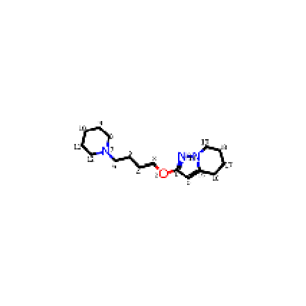 c1c(OCCCCN2CCCCC2)nn2c1CCCC2